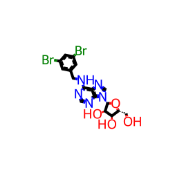 OC[C@H]1O[C@@H](n2cnc3c(NCc4cc(Br)cc(Br)c4)ncnc32)[C@H](O)[C@@H]1O